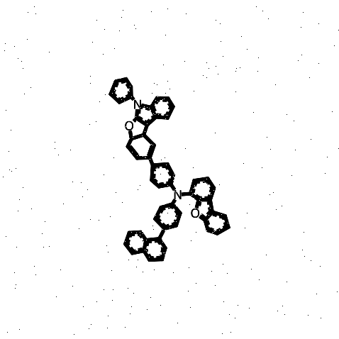 C1=CC2Oc3c(c4ccccc4n3-c3ccccc3)C2C=C1c1ccc(N(c2ccc(-c3cccc4ccccc34)cc2)c2cccc3c2oc2ccccc23)cc1